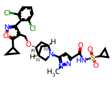 Cn1nc(C(=O)NS(=O)(=O)C2CC2)cc1N1C[C@@H]2C[C@H]1C[C@H]2OCc1c(-c2c(Cl)cccc2Cl)noc1C1CC1